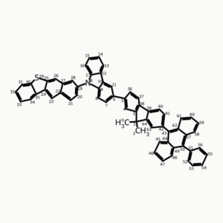 CC1(C)c2cc(-c3ccc4c(c3)c3ccccc3n4-c3ccc4cc5c(cc4c3)sc3ccccc35)ccc2-c2ccc(-c3c4ccccc4c(-c4ccccc4)c4ccccc34)cc21